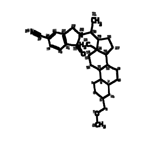 COCC1CCC2C(CCC3C2CCC2(C)C3CCC2C(C)N2Cc3cc(C#N)ccc3C2=O)C1